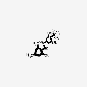 CCCC(CC(C)CC(C)(C)C)[P](=O)C(=O)c1c(C)cc(C)cc1C